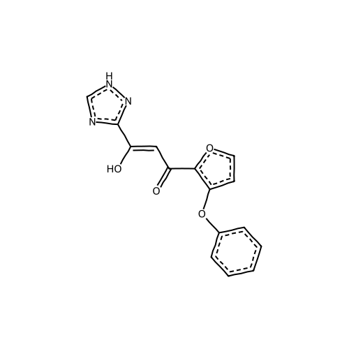 O=C(C=C(O)c1nc[nH]n1)c1occc1Oc1ccccc1